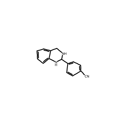 N#Cc1ccc(C2NCc3ccccc3N2)cc1